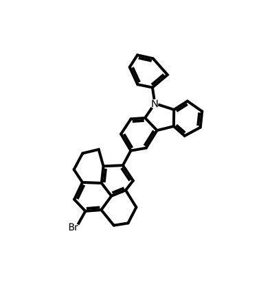 Brc1cc2c3c(c(-c4ccc5c(c4)c4ccccc4n5-c4ccccc4)cc4c3c1CCC4)CCC2